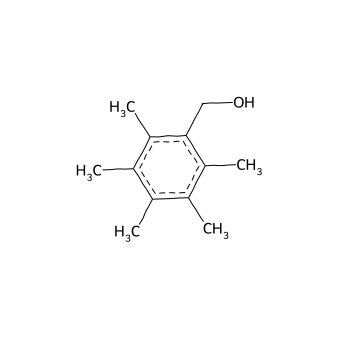 Cc1c(C)c(C)c(CO)c(C)c1C